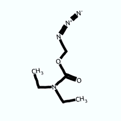 CCN(CC)C(=O)OCN=[N+]=[N-]